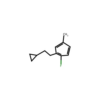 Cc1ccc(F)c(CCC2CC2)c1